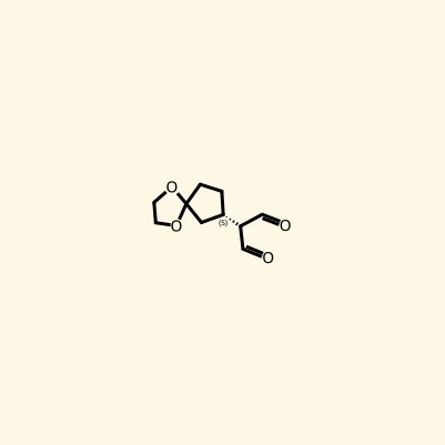 O=CC(C=O)[C@H]1CCC2(C1)OCCO2